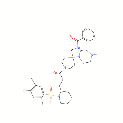 Cc1cc(S(=O)(=O)N2CCCCC2CCC(=O)N2CCC(CNC(=O)c3ccccc3)(N3CCN(C)CC3)CC2)c(C)cc1Cl